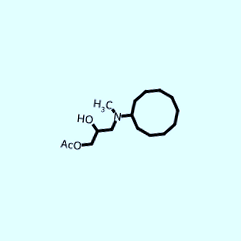 CC(=O)OCC(O)CN(C)C1CCCCCCCCC1